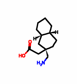 NC[C@@]1(CC(=O)O)CC[C@H]2CCCC[C@@H]2C1